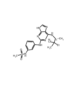 CCC(C)(C)[C@@H](C)Nc1nc(Nc2cccc(NS(C)(=O)=O)c2)nc2[nH]cnc12